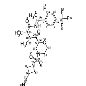 C[C@H](C(=O)N[C@H](C)c1ccc(C(F)(F)F)cc1F)N(C)C(=O)[C@@H]1CN(S(=O)(=O)N2CC(C#N)C2)CCO1